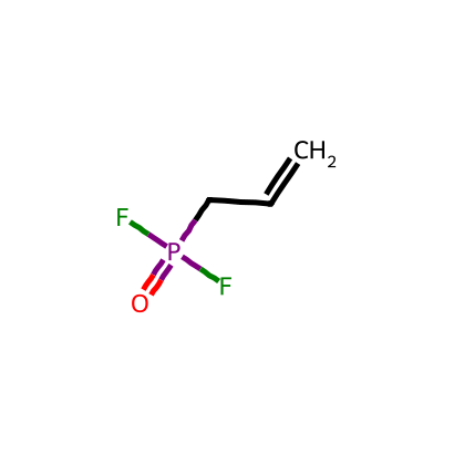 C=CCP(=O)(F)F